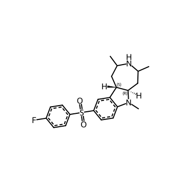 CC1C[C@@H]2[C@@H](CC(C)N1)c1cc(S(=O)(=O)c3ccc(F)cc3)ccc1N2C